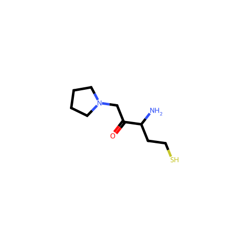 NC(CCS)C(=O)CN1CCCC1